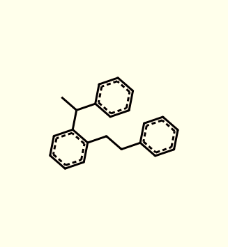 CC(c1ccccc1)c1ccccc1CCc1ccccc1